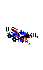 CNC(=O)[C@H](Cc1ccc(OC)cc1)C[C@H](O)[C@H](CC1CCCCC1)NC(=O)[C@H](Cc1c[nH]cn1)N(C(=O)OC(C)(C)C)C(=O)[C@@H](N)Cc1ccccc1